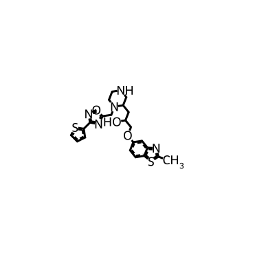 Cc1nc2cc(OCC(O)CC3CNCCN3Cc3nc(-c4cccs4)no3)ccc2s1